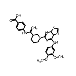 C=C(Nc1ccc(C(=O)O)cc1)C1CCCN(C2=NC3SC=NC3C(Nc3ccc(OC)c(OC)c3)=N2)C1